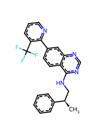 C[C@H](CNc1ncnc2cc(-c3ncccc3C(F)(F)F)ccc12)c1ccccc1